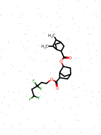 CC1C2CC(C(=O)OC3CC4CC(C(=O)OCCC(F)(F)CC(F)F)C3C4)C(C2)C1C